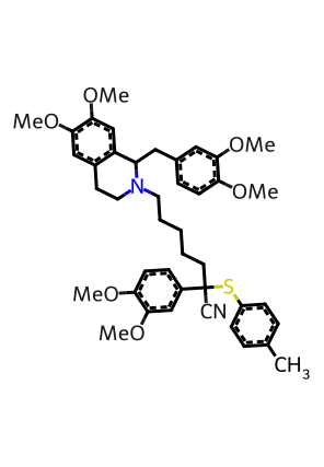 COc1ccc(CC2c3cc(OC)c(OC)cc3CCN2CCCCCC(C#N)(Sc2ccc(C)cc2)c2ccc(OC)c(OC)c2)cc1OC